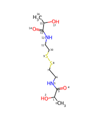 CC(O)C(=O)NCCSSCCNC(=O)C(C)O